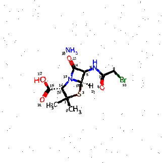 CC1(C)S[C@@H]2C(NC(=O)CBr)C(=O)N2[C@H]1C(=O)O.N